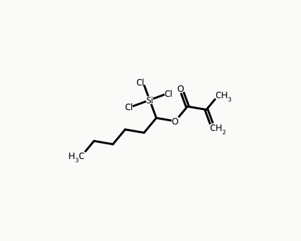 C=C(C)C(=O)OC(CCCCC)[Si](Cl)(Cl)Cl